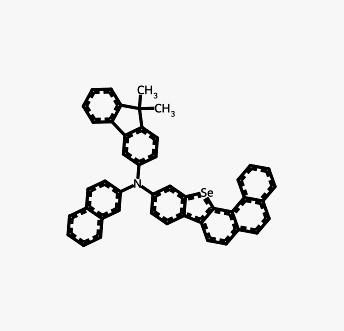 CC1(C)c2ccccc2-c2cc(N(c3ccc4ccccc4c3)c3ccc4c(c3)[se]c3c4ccc4ccc5ccccc5c43)ccc21